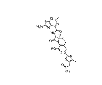 CO/N=C(/C(=O)NC1C(=O)N2C(C(=O)O)=C(CSc3nc(C)c(CC(=O)O)s3)CS[C@H]12)c1nc(N)sc1Cl